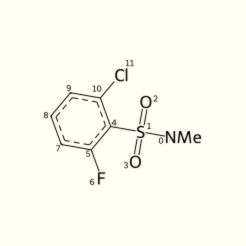 [CH2]NS(=O)(=O)c1c(F)cccc1Cl